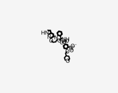 O=C(NS(=O)(=O)c1ccc(OCC2CCOCC2)c([N+](=O)[O-])c1)c1ccccc1N1CCCOc2nc3[nH]ccc3cc21